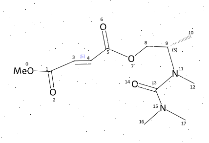 COC(=O)/C=C/C(=O)OC[C@H](C)N(C)C(=O)N(C)C